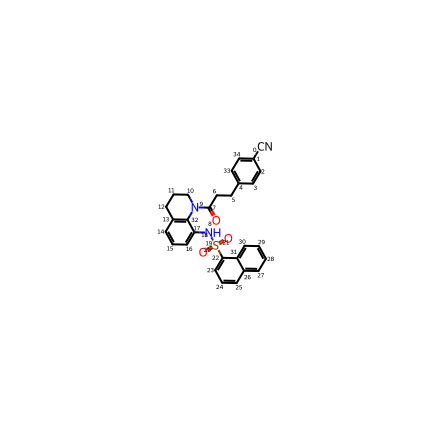 N#Cc1ccc(CCC(=O)N2CCCc3cccc(NS(=O)(=O)c4cccc5ccccc45)c32)cc1